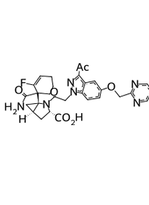 CC(=O)c1nn(CC(=O)N2[C@H](C(=O)O)C[C@H]3C[C@@]32C2(C(N)=O)CCCC=C2F)c2ccc(OCc3ncccn3)cc12